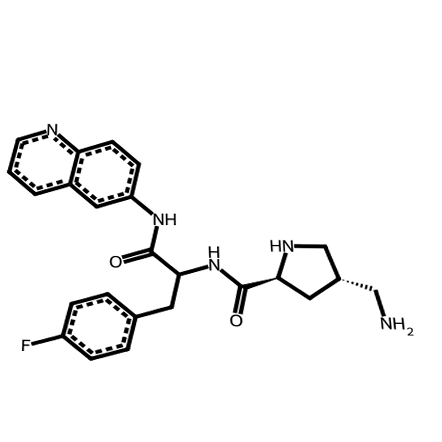 NC[C@H]1CN[C@H](C(=O)NC(Cc2ccc(F)cc2)C(=O)Nc2ccc3ncccc3c2)C1